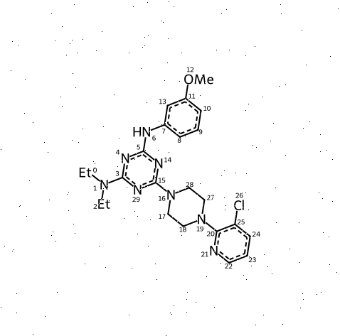 CCN(CC)c1nc(Nc2cccc(OC)c2)nc(N2CCN(c3ncccc3Cl)CC2)n1